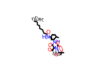 CCCCCCCCCCCCCCCCCC(=O)Nc1ccc(C)c(NC(=O)C(C(=O)C(C)(C)C)N2C(=O)OC(C)(C)C2=O)c1